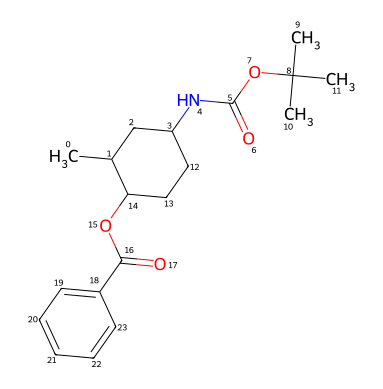 CC1CC(NC(=O)OC(C)(C)C)CCC1OC(=O)c1ccccc1